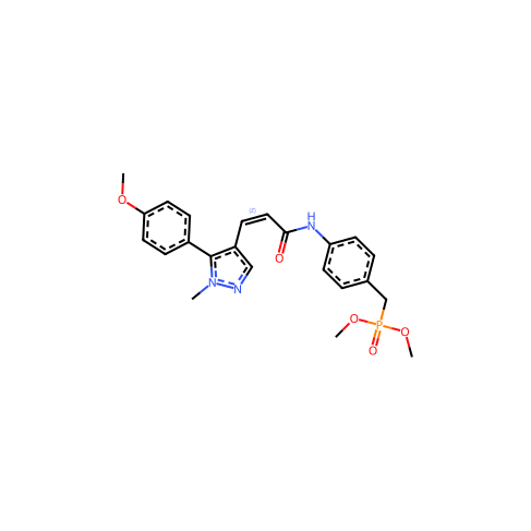 COc1ccc(-c2c(/C=C\C(=O)Nc3ccc(CP(=O)(OC)OC)cc3)cnn2C)cc1